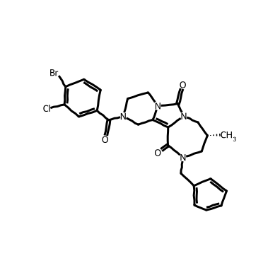 C[C@@H]1CN(Cc2ccccc2)C(=O)c2c3n(c(=O)n2C1)CCN(C(=O)c1ccc(Br)c(Cl)c1)C3